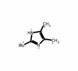 CCC(C)c1nc(C)c(C)[nH]1